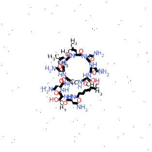 CCCCCCCC(=O)N[C@@H](CCN)C(=O)N[C@H](C(=O)N[C@@H](CCN)C(=O)N[C@H]1CCNC(=O)[C@H]([C@@H](C)O)NC(=O)[C@H](CCN)NC(=O)[C@H](CCN)NC(=O)[C@H](CC(C)C)NC(=O)[C@@H](CC(C)C)NC(=O)[C@H](CCN)NC1=O)[C@@H](C)O